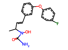 CC(C=Cc1cccc(Oc2ccc(F)cc2)c1)N(O)C(N)=O